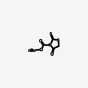 CCCCOC(=O)N1C(=O)CSC1=S